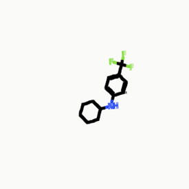 FC(F)(F)c1c[c]c(NC2CCCCC2)cc1